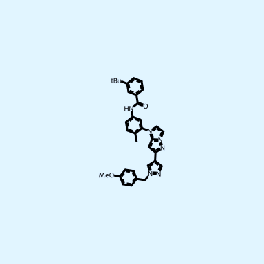 COc1ccc(Cn2cc(-c3cc4n(-c5cc(NC(=O)c6cccc(C(C)(C)C)c6)ccc5C)ccn4n3)cn2)cc1